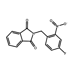 O=C1c2ccccc2C(=O)N1Cc1ccc(F)cc1[N+](=O)[O-]